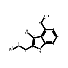 CC(C)NCc1[nH]c2cccc(CO)c2c1Cl